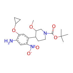 COC1CN(C(=O)OC(C)(C)C)CCC1c1cc(OC2CC2)c(N)cc1[N+](=O)[O-]